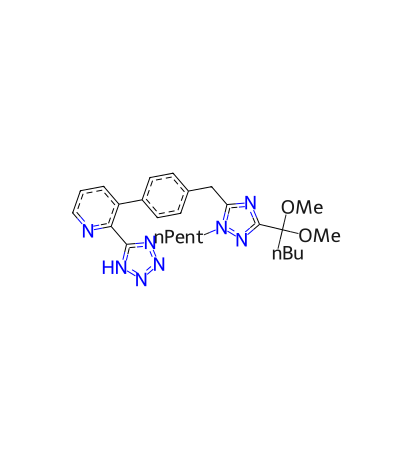 CCCCCn1nc(C(CCCC)(OC)OC)nc1Cc1ccc(-c2cccnc2-c2nnn[nH]2)cc1